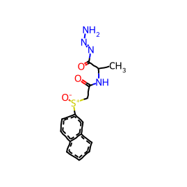 CC(NC(=O)C[S+]([O-])c1ccc2ccccc2c1)C(=O)N=NN